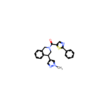 Cn1cc(C2CN(C(=O)c3cnc(-c4ccccc4)s3)Cc3ccccc32)cn1